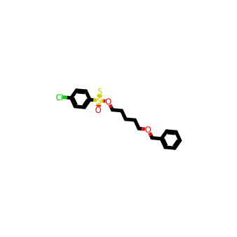 O=S(=S)(OCCCCCOCc1ccccc1)c1ccc(Cl)cc1